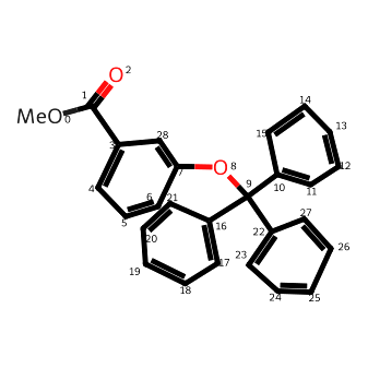 COC(=O)c1cccc(OC(c2ccccc2)(c2ccccc2)c2ccccc2)c1